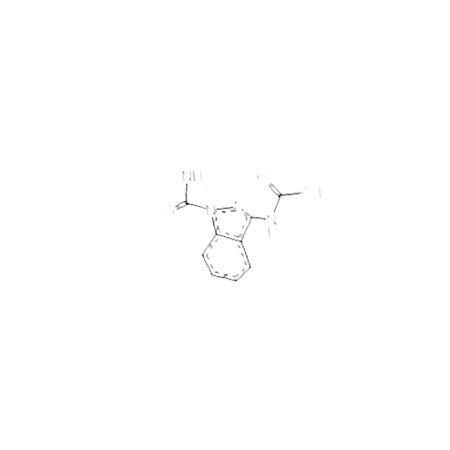 CC(=O)Nc1nn(C(N)=O)c2c[c]ccc12